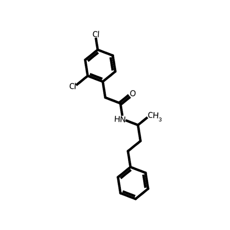 CC(CCc1ccccc1)NC(=O)Cc1ccc(Cl)cc1Cl